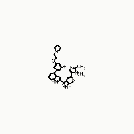 Cc1ncc(-c2cc3c(-c4cc5c(-c6cc(F)cc(OCCN7CCCC7)c6)cccc5[nH]4)n[nH]c3cn2)n1C